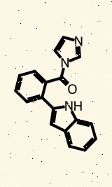 O=C(c1ccccc1-c1cc2ccccc2[nH]1)n1ccnc1